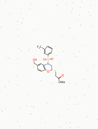 COC(=O)CC[C@H]1CN(S(=O)(=O)c2cccc(C(F)(F)F)c2)c2cc(CO)ccc2O1